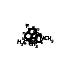 CN1CCC(C2(O)c3c(Br)ccc(F)c3CCC2(C)C)CC1